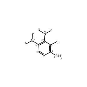 Cc1c([SiH3])ccc(N(C)C)c1N(C)C